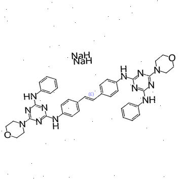 C(=C\c1ccc(Nc2nc(Nc3ccccc3)nc(N3CCOCC3)n2)cc1)/c1ccc(Nc2nc(Nc3ccccc3)nc(N3CCOCC3)n2)cc1.[NaH].[NaH]